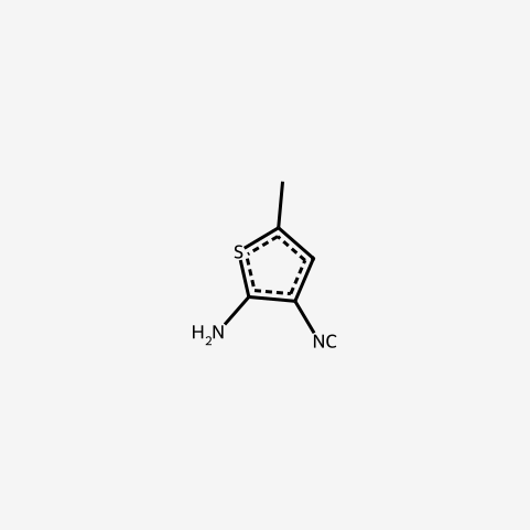 [C-]#[N+]c1cc(C)sc1N